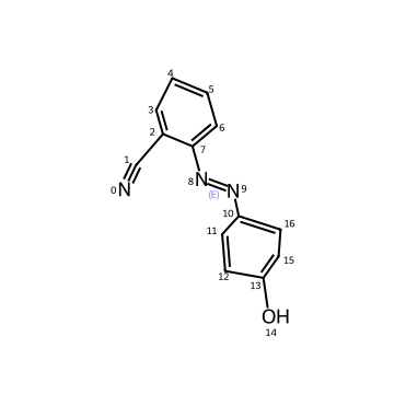 N#Cc1ccccc1/N=N/c1ccc(O)cc1